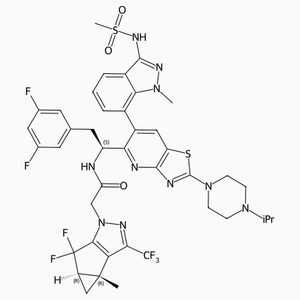 CC(C)N1CCN(c2nc3nc([C@H](Cc4cc(F)cc(F)c4)NC(=O)Cn4nc(C(F)(F)F)c5c4C(F)(F)[C@@H]4C[C@@]54C)c(-c4cccc5c(NS(C)(=O)=O)nn(C)c45)cc3s2)CC1